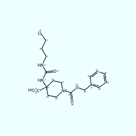 O=C(NCCCCl)NC1(C(=O)O)CCN(C(=O)OCc2ccccc2)CC1